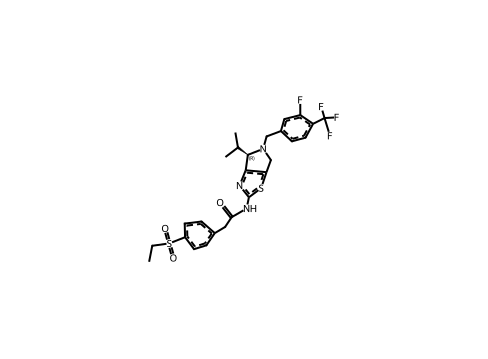 CCS(=O)(=O)c1ccc(CC(=O)Nc2nc3c(s2)CN(Cc2ccc(C(F)(F)F)c(F)c2)[C@@H]3C(C)C)cc1